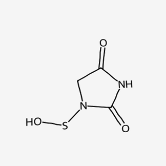 O=C1CN(SO)C(=O)N1